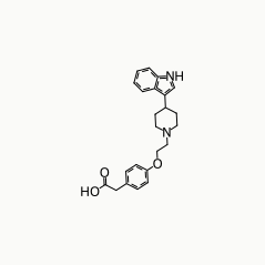 O=C(O)Cc1ccc(OCCN2CCC(c3c[nH]c4ccccc34)CC2)cc1